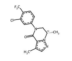 Cc1cnn2c1C(=O)N(c1ccc(C(F)(F)F)c(Cl)c1)C[C@@H]2C